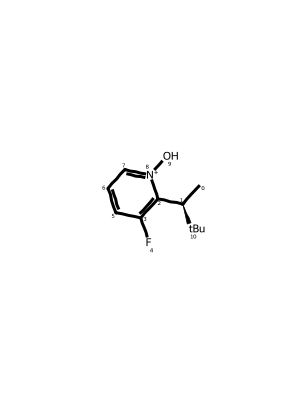 C[C@H](c1c(F)ccc[n+]1O)C(C)(C)C